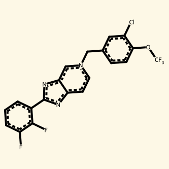 Fc1cccc(-c2nc3ccn(Cc4ccc(OC(F)(F)F)c(Cl)c4)cc-3n2)c1F